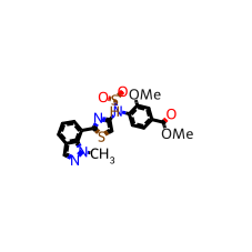 COC(=O)c1ccc(N(c2csc(-c3cccc4cnn(C)c34)n2)[SH](=O)=O)c(OC)c1